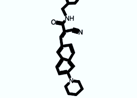 CC(CO)CNC(=O)/C(C#N)=C/c1ccc2cc(N3CCCCC3)ccc2c1